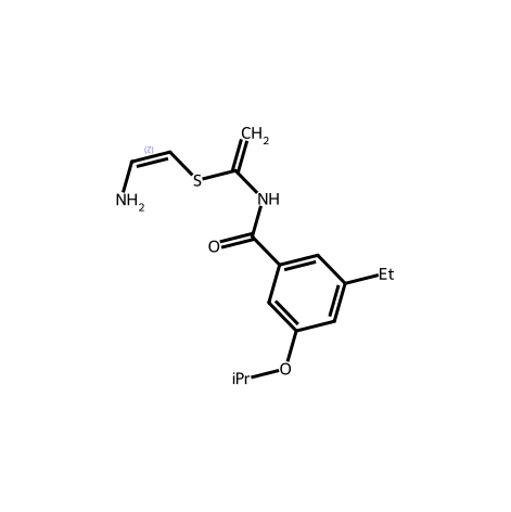 C=C(NC(=O)c1cc(CC)cc(OC(C)C)c1)S/C=C\N